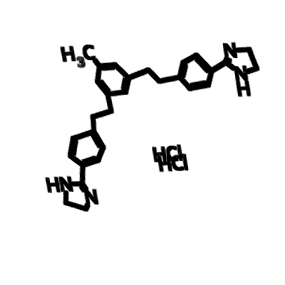 Cc1cc(CCc2ccc(C3=NCCN3)cc2)cc(CCc2ccc(C3=NCCN3)cc2)c1.Cl.Cl